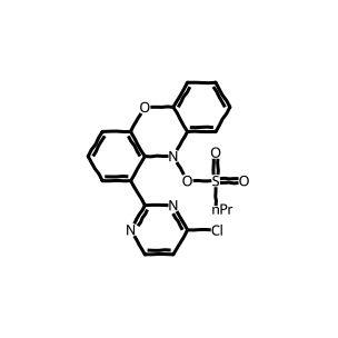 CCCS(=O)(=O)ON1c2ccccc2Oc2cccc(-c3nccc(Cl)n3)c21